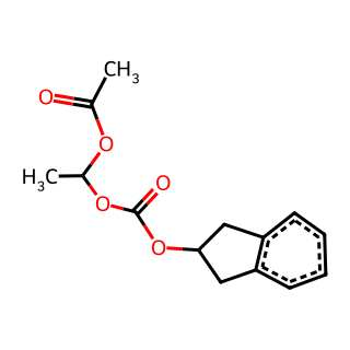 CC(=O)OC(C)OC(=O)OC1Cc2ccccc2C1